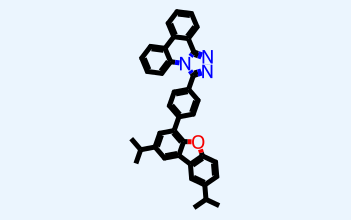 CC(C)c1ccc2oc3c(-c4ccc(-c5nnc6c7ccccc7c7ccccc7n56)cc4)cc(C(C)C)cc3c2c1